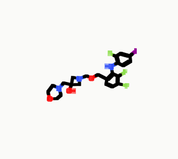 OC1(CN2CCOCC2)CN(COCc2ccc(F)c(F)c2Nc2ccc(I)cc2F)C1